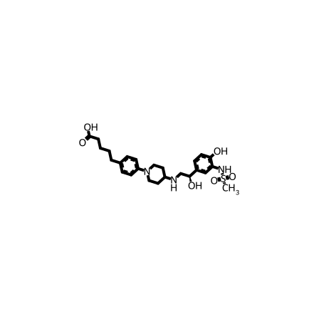 CS(=O)(=O)Nc1cc([C@@H](O)CNC2CCN(c3ccc(CCCCC(=O)O)cc3)CC2)ccc1O